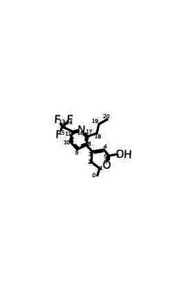 CCCC(=CC(=O)O)c1ccc(C(F)(F)F)nc1CCC